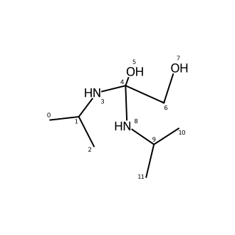 CC(C)NC(O)(CO)NC(C)C